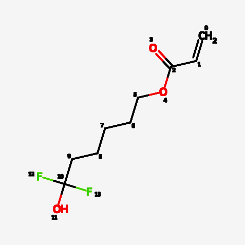 C=CC(=O)OCCCCCC(O)(F)F